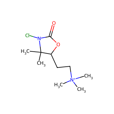 CC1(C)C(CC[N+](C)(C)C)OC(=O)N1Cl